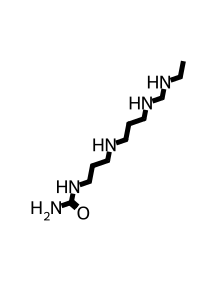 CCNCNCCCNCCCNC(N)=O